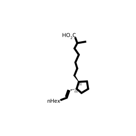 CCCCCCC=C[C@H]1CCC[C@@H]1CCCCCC(C)C(=O)O